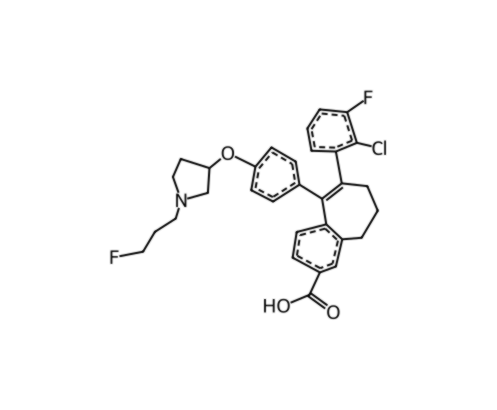 O=C(O)c1ccc2c(c1)CCCC(c1cccc(F)c1Cl)=C2c1ccc(OC2CCN(CCCF)C2)cc1